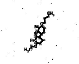 CCCCOC1CCC2C3CCC(OCC)C(F)C3SC2C1F